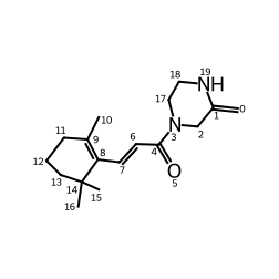 C=C1CN(C(=O)/C=C/C2=C(C)CCCC2(C)C)CCN1